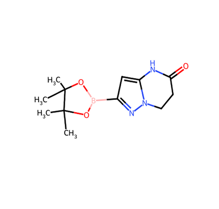 CC1(C)OB(c2cc3n(n2)CCC(=O)N3)OC1(C)C